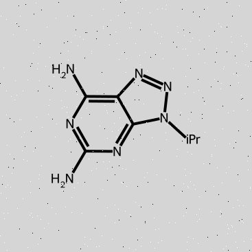 CC(C)n1nnc2c(N)nc(N)nc21